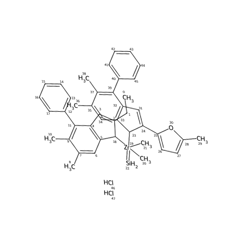 CCC1=Cc2c(cc(C)c(C)c2-c2ccccc2)[CH]1[Zr]([CH3])([CH3])(=[SiH2])[CH]1C(c2ccc(C)o2)=Cc2c1cc(C)c(C)c2-c1ccccc1.Cl.Cl